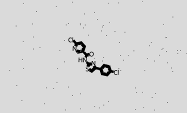 O=C(Nc1nc(-c2ccc(Cl)cc2)cs1)c1ccc(Cl)nc1